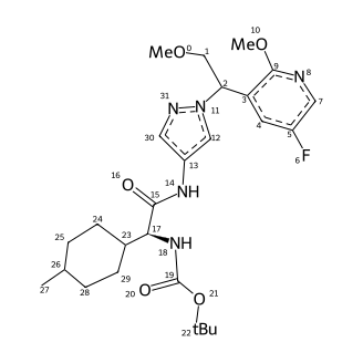 COCC(c1cc(F)cnc1OC)n1cc(NC(=O)[C@@H](NC(=O)OC(C)(C)C)C2CCC(C)CC2)cn1